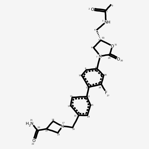 CC(=O)NC[C@H]1CN(c2ccc(-c3ccc(CN4CC(C(N)=O)C4)cc3)c(F)c2)C(=O)O1